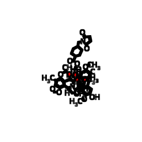 COc1cc2c(cc1O)CCN(C(=O)OCOC(=O)C1CCC(CN3C(=O)C=CC3=O)CC1)[C@]21CS[C@@H]2c3c(OC(C)=O)c(C)c4c(c3[C@H](COC1=O)N1C(O)[C@@H]3Cc5cc(C)c(OC)c(O)c5[C@H]([C@H]21)N3C)OCO4